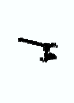 C=CNCCCC[C@H](NC(=O)[C@@H](NC(=O)CCOCCOCCOCCOCCOCCOCCOCCOCCOCCN=[N+]=[N-])C(C)C)C(=O)Nc1ccc(COC(=O)N[C@H]2CCc3c(C)c(F)cc4nc5c(c2c34)Cn2c-5cc3c(c2=O)COC(=O)[C@]3(O)CC)cc1